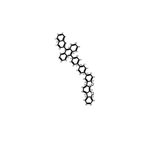 c1ccc2cc(-c3c4ccccc4c(-c4ccc(-c5ccc(-c6ccc7oc8c(ccc9c%10ccccc%10oc98)c7c6)cc5)cc4)c4ccccc34)ccc2c1